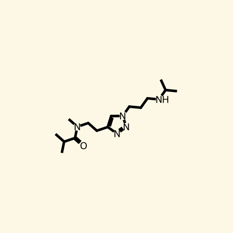 CC(C)NCCCn1cc(CCN(C)C(=O)C(C)C)nn1